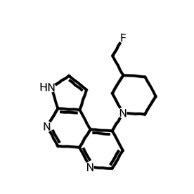 FCC1CCCN(c2ccnc3cnc4[nH]ccc4c23)C1